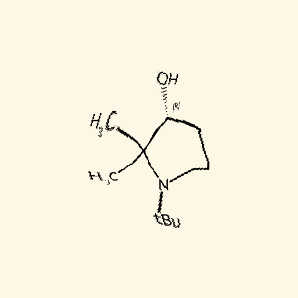 CC(C)(C)N1CC[C@@H](O)C1(C)C